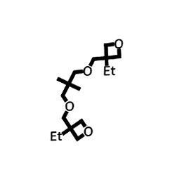 CCC1(COCC(C)(C)COCC2(CC)COC2)COC1